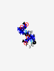 Cc1nc(N[C@H](C)c2ccc(C3CC34C(=O)N(C3CCN(C(=O)C5CC5)CC3)Cc3c(N[C@H](C)c5cccc(C(F)(F)F)c5F)nc(C)nc34)c(C(F)(F)F)c2F)c2c(n1)C1(CCN(C)C1)C(=O)N([C@@H]1CCN(C(=O)C3CC3)C1)C2